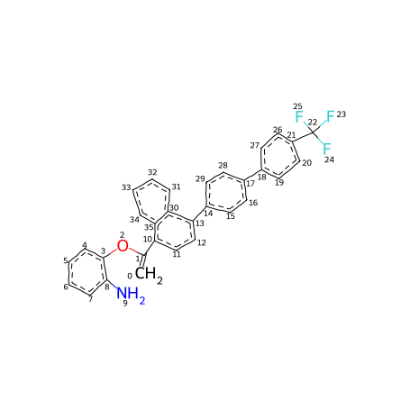 C=C(Oc1ccccc1N)c1ccc(-c2ccc(-c3ccc(C(F)(F)F)cc3)cc2)c2ccccc12